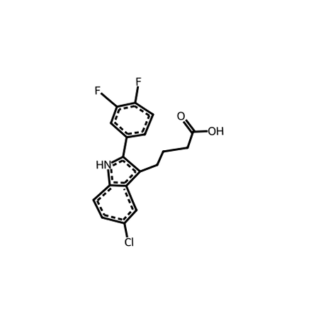 O=C(O)CCCc1c(-c2ccc(F)c(F)c2)[nH]c2ccc(Cl)cc12